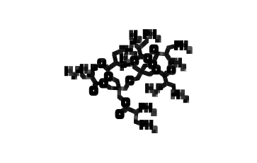 O=C(OCC(COCC(COC(=O)C(P)CP)(COC(=O)C(P)CP)COC(=O)C(P)CP)(COC(=O)C(P)CP)COC(=O)C(P)CP)C(P)CP